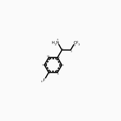 NC(CC(F)(F)F)c1ccc(F)cc1